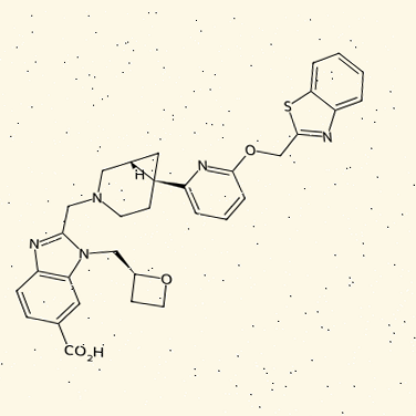 O=C(O)c1ccc2nc(CN3CC[C@@]4(c5cccc(OCc6nc7ccccc7s6)n5)C[C@H]4C3)n(C[C@@H]3CCO3)c2c1